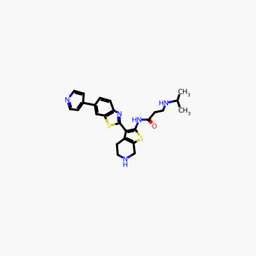 CC(C)NCCC(=O)Nc1sc2c(c1-c1nc3ccc(-c4ccncc4)cc3s1)CCNC2